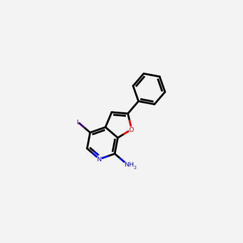 Nc1ncc(I)c2cc(-c3ccccc3)oc12